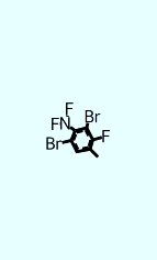 Cc1cc(Br)c(N(F)F)c(Br)c1F